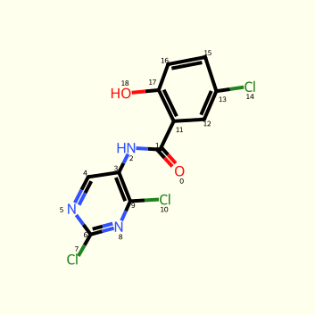 O=C(Nc1cnc(Cl)nc1Cl)c1cc(Cl)ccc1O